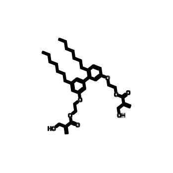 C=C(CO)C(=O)OCCOc1cc(CCCCCCC)cc(-c2cc(OCCOC(=O)C(=C)CO)ccc2CCCCCCC)c1